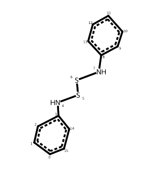 c1ccc(NSSNc2ccccc2)cc1